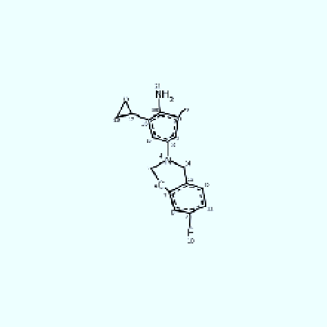 Cc1cc(N2CCc3cc(F)ccc3C2)cc(C2CC2)c1N